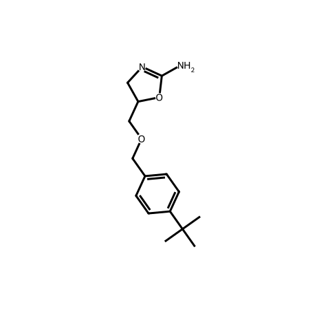 CC(C)(C)c1ccc(COCC2CN=C(N)O2)cc1